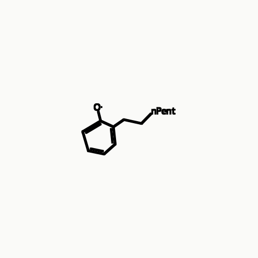 CCCCCCCc1ccccc1[O]